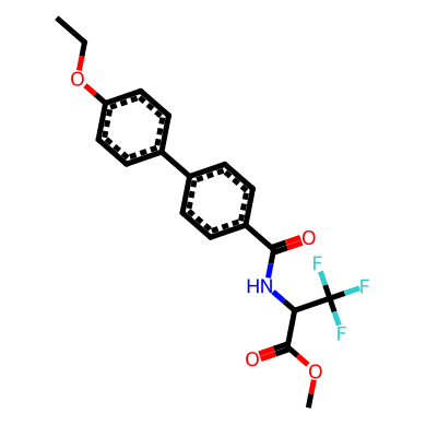 CCOc1ccc(-c2ccc(C(=O)NC(C(=O)OC)C(F)(F)F)cc2)cc1